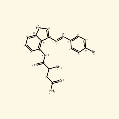 NC(=O)CC(N)C(=O)Nc1cccc2[nH]cc(/N=N/c3ccc(Br)cc3)c12